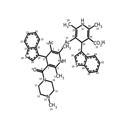 CC(=O)C1=C(C)NC(C)=C(C(=O)N2CCN(C)CC2)C1c1csc2ccccc12.CC(=O)C1=C(C)NC(C)=C(C(=O)O)C1c1csc2ccccc12